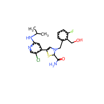 CC(C)Nc1cc(C2=CN(Cc3cccc(F)c3CO)C(C(N)=O)S2)c(Cl)cn1